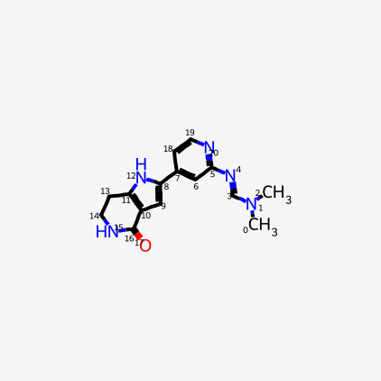 CN(C)C=Nc1cc(-c2cc3c([nH]2)CCNC3=O)ccn1